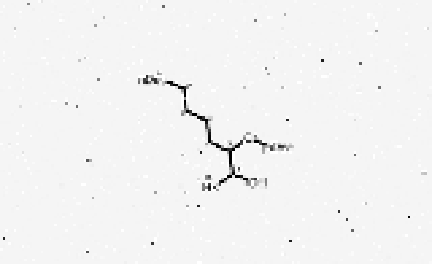 CCCCCCCCCCCCCCC(OCCCCCCCCCC)C(O)S